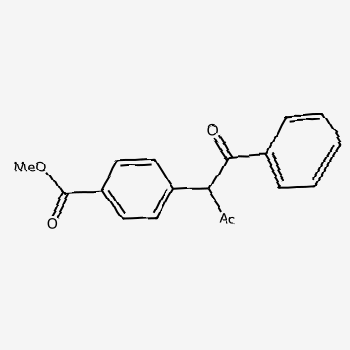 COC(=O)c1ccc(C(C(C)=O)C(=O)c2ccccc2)cc1